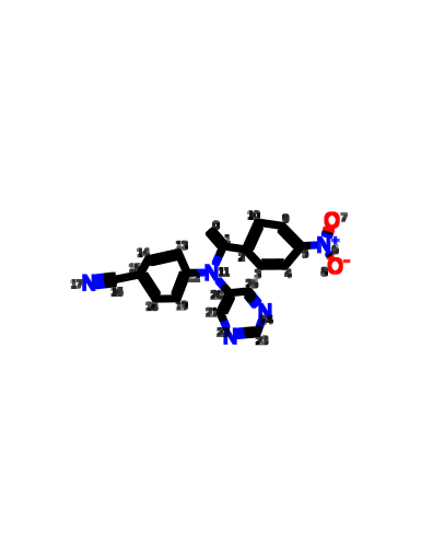 C=C(c1ccc([N+](=O)[O-])cc1)N(c1ccc(C#N)cc1)c1cncnc1